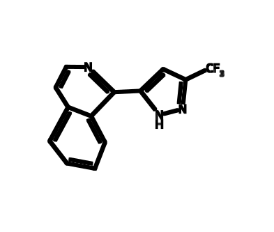 FC(F)(F)c1cc(-c2nccc3ccccc23)[nH]n1